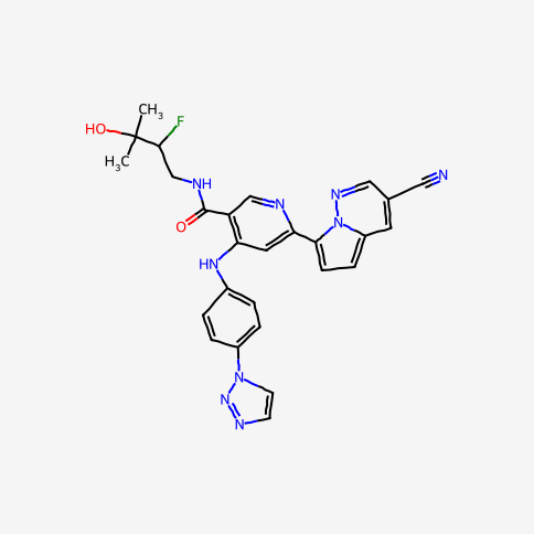 CC(C)(O)C(F)CNC(=O)c1cnc(-c2ccc3cc(C#N)cnn23)cc1Nc1ccc(-n2ccnn2)cc1